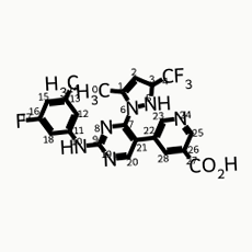 CC1=CC(C(F)(F)F)NN1c1nc(Nc2cc(C)cc(F)c2)ncc1-c1cncc(C(=O)O)c1